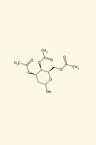 CC(=O)OC[C@H]1OC(O)C[C@@H](OC(C)=O)[C@H]1OC(C)=O